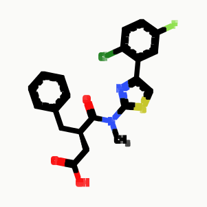 CN(C(=O)[C@@H](CC(=O)O)Cc1ccccc1)c1nc(-c2cc(F)ccc2Cl)cs1